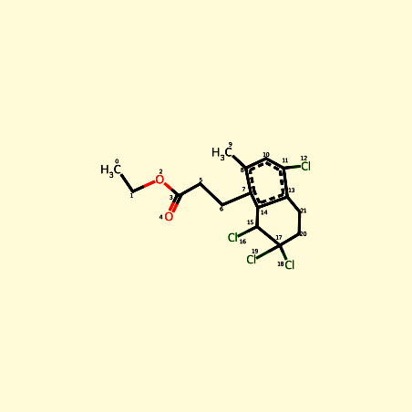 CCOC(=O)CCc1c(C)cc(Cl)c2c1C(Cl)C(Cl)(Cl)CC2